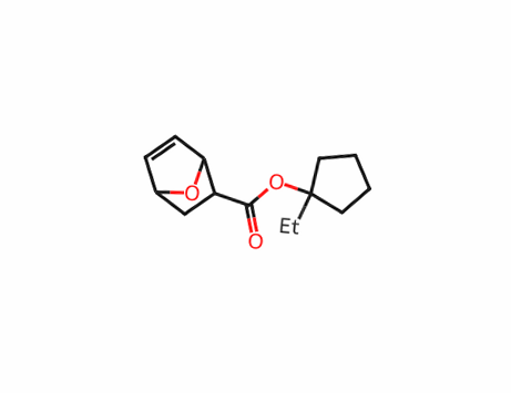 CCC1(OC(=O)C2CC3C=CC2O3)CCCC1